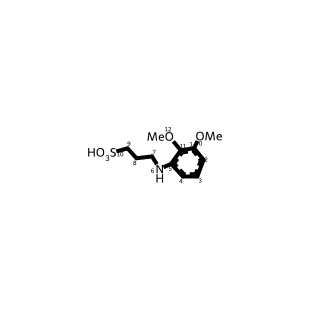 COc1cccc(NCCCS(=O)(=O)O)c1OC